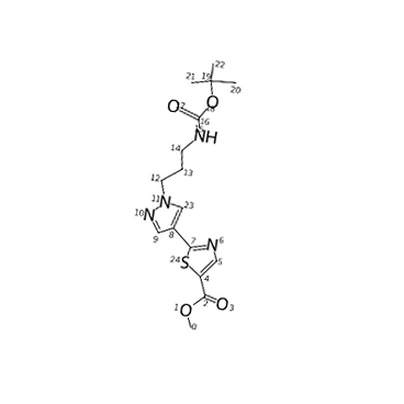 COC(=O)c1cnc(-c2cnn(CCCNC(=O)OC(C)(C)C)c2)s1